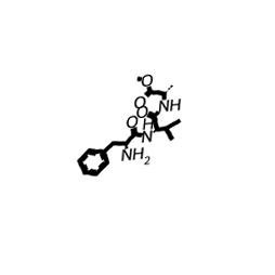 COC(=O)[C@H](C)NC(=O)[C@@H](NC(=O)[C@@H](N)Cc1ccccc1)C(C)C